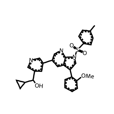 COc1ccccc1-c1cn(S(=O)(=O)c2ccc(C)cc2)c2ncc(-c3cncc(C(O)C4CC4)c3)cc12